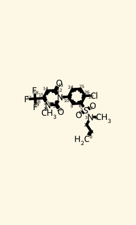 C=CCN(C)S(=O)(=O)c1cc(-n2c(=O)cc(C(F)(F)F)n(C)c2=O)ccc1Cl